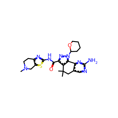 CN1CCc2nc(NC(=O)c3nn(C4CCCCO4)c4c3C(C)(C)Cc3cnc(N)nc3-4)sc2C1